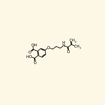 C=C(C)C(=O)NCCCOc1ccc(C(=O)O)c(C(=O)O)c1